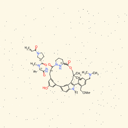 C=CC(=O)N1CC[C@H](C(=O)N(C)[C@H](C(=O)N[C@H]2Cc3cc(O)cc(c3)-c3ccc4c(c3)c(c(-c3ccc(CN(C)C)cc3COC)n4CC)CC(C)(C)COC(=O)[C@@H]3CCCN(N3)C2=O)C(C)C)C1